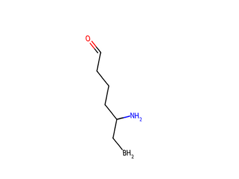 BCC(N)CCCC=O